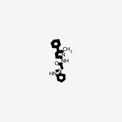 Cc1nc(NC(=O)CN2CNC3CCCCC32)ccc1-c1ccccc1